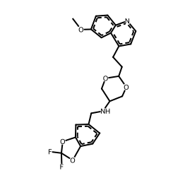 COc1ccc2nccc(CCC3OCC(NCc4ccc5c(c4)OC(F)(F)O5)CO3)c2c1